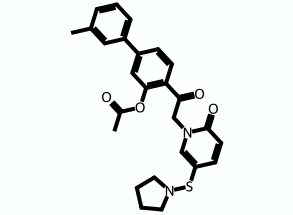 CC(=O)Oc1cc(-c2cccc(C)c2)ccc1C(=O)Cn1cc(SN2CCCC2)ccc1=O